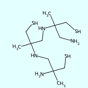 CC(N)(CS)CNC(C)(CS)CNC(C)(CN)CS